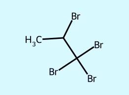 CC(Br)C(Br)(Br)Br